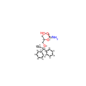 CC(C)(C)[Si](OCC(CO)OC(N)=O)(c1ccccc1)c1ccccc1